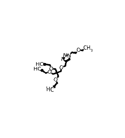 C#CCOCC(COCC#C)(COCC#C)COCc1cn(CCOCC)nn1